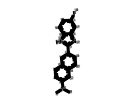 CN(C)c1ccc2cc(-c3nc4cc(F)ccc4[nH]3)ccc2c1